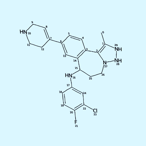 CC1=C2c3ccc(C4=CCNCC4)cc3C(Nc3ccc(F)c(Cl)c3)CCN2NN1